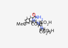 COc1ccc(CC(C(N)=O)N(CCN(CCN(CC(=O)O)CC(=O)O)CC(=O)O)CC(=O)O)cc1